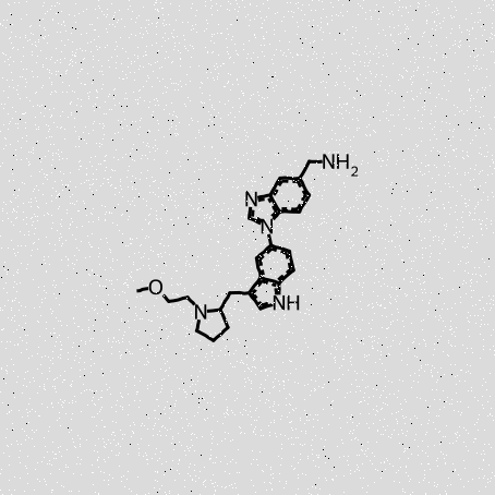 COCCN1CCCC1Cc1c[nH]c2ccc(-n3cnc4cc(CN)ccc43)cc12